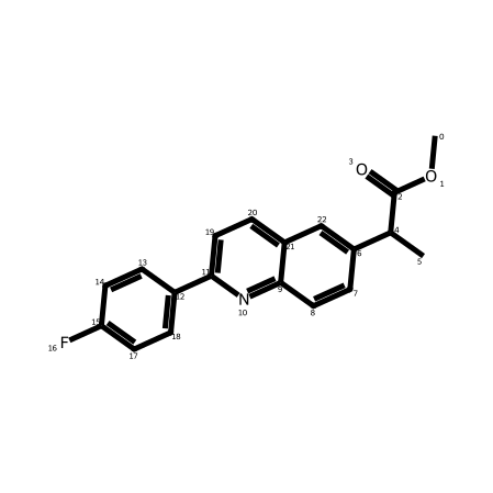 COC(=O)C(C)c1ccc2nc(-c3ccc(F)cc3)ccc2c1